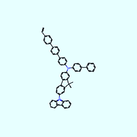 C=Cc1ccc(-c2ccc(-c3ccc(N(c4ccc(-c5ccccc5)cc4)c4ccc5c(c4)C(C)(C)c4cc(-n6c7ccccc7c7ccccc76)ccc4-5)cc3)cc2)cc1